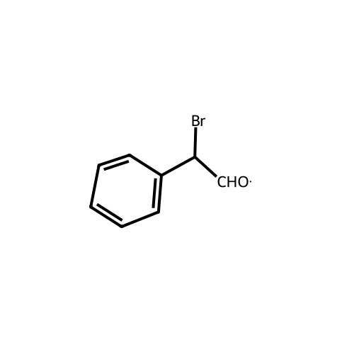 O=[C]C(Br)c1ccccc1